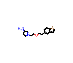 NC1CCN(CCOCCc2ccc3sccc3c2)C1